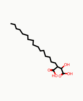 CCCCCCCCCCCCCCCCC(C(=O)O)C(O)C(=O)O